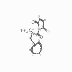 CN(Cc1ccccc1)C(=O)N1C(=O)C=CC1=O